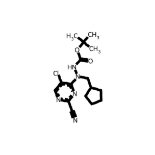 CC(C)(C)OC(=O)NN(CC1CCCC1)c1nc(C#N)ncc1Cl